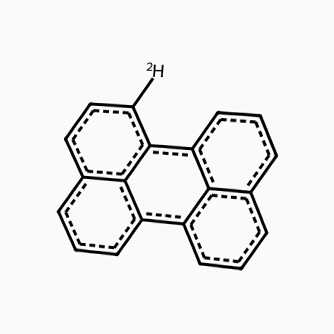 [2H]c1ccc2cccc3c4cccc5cccc(c1c23)c54